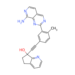 Cc1ccc(C#CC2(O)CCc3cccnc32)cc1-c1ncc2ccnc(N)c2n1